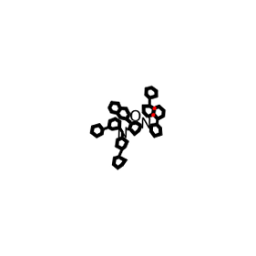 c1ccc(-c2ccc(N(c3ccccc3-c3ccccc3)c3ccc(N(c4ccc(-c5ccccc5)cc4)c4cccc(-c5ccccc5)c4)c4c3oc3cc5ccccc5cc34)cc2)cc1